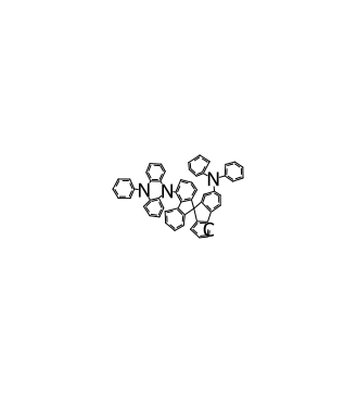 c1ccc(N(c2ccccc2)c2ccc3c(c2)C2(c4ccccc4-3)c3ccccc3-c3c(N4c5ccccc5N(c5ccccc5)c5ccccc54)cccc32)cc1